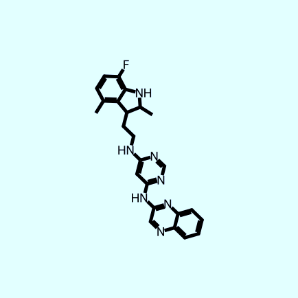 Cc1ccc(F)c2c1C(CCNc1cc(Nc3cnc4ccccc4n3)ncn1)C(C)N2